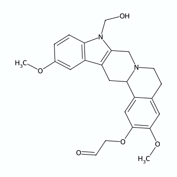 COc1ccc2c(c1)c1c(n2CO)CN2CCc3cc(OC)c(OCC=O)cc3C2C1